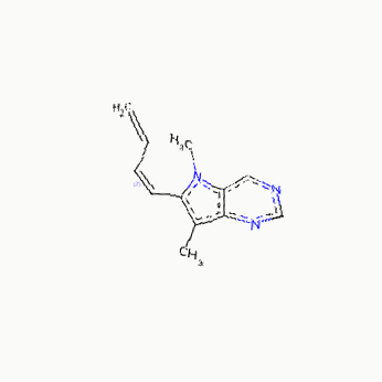 C=C/C=C\c1c(C)c2ncncc2n1C